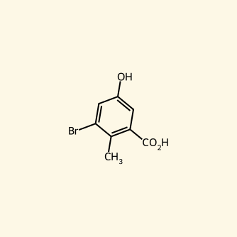 Cc1c(Br)cc(O)cc1C(=O)O